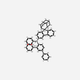 c1ccc(-c2ccc(N(c3ccccc3)c3ccc4c(c3)-c3ccccc3C43C4CC5CC(C4)CC3C5)c(-c3ccccc3)c2)cc1